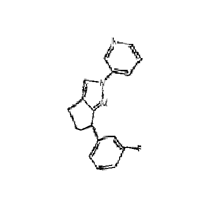 Fc1cccc(C2CCc3cn(-c4cccnc4)nc32)c1